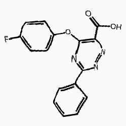 O=C(O)c1nnc(-c2ccccc2)nc1Oc1ccc(F)cc1